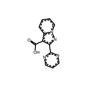 O=C(O)c1c(-c2ncccn2)nn2ccccc12